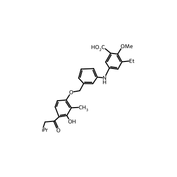 CCc1cc(Nc2cccc(COc3ccc(C(=O)CC(C)C)c(O)c3C)c2)cc(C(=O)O)c1OC